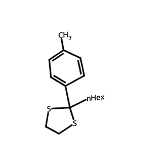 CCCCCCC1(c2ccc(C)cc2)SCCS1